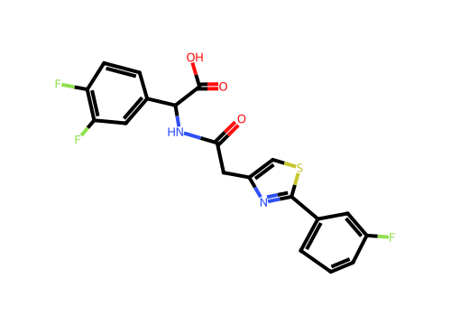 O=C(Cc1csc(-c2cccc(F)c2)n1)NC(C(=O)O)c1ccc(F)c(F)c1